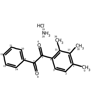 Cc1ccc(C(=O)C(=O)c2ccccc2)c(C)c1C.Cl.N